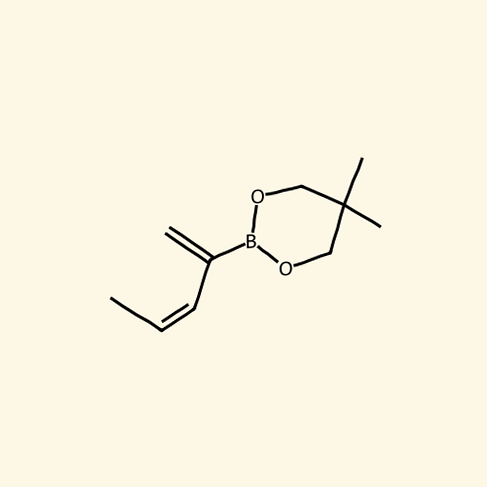 C=C(/C=C\C)B1OCC(C)(C)CO1